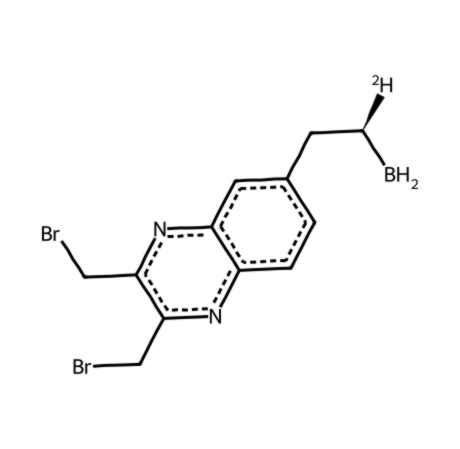 [2H][C@@H](B)Cc1ccc2nc(CBr)c(CBr)nc2c1